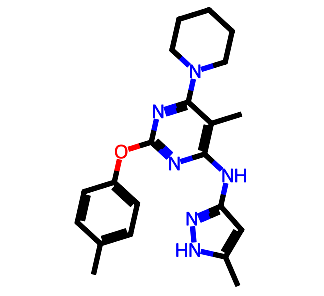 Cc1ccc(Oc2nc(Nc3cc(C)[nH]n3)c(C)c(N3CCCCC3)n2)cc1